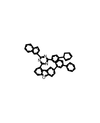 C1=CCC(c2ccc(-c3nc(-c4ccc5ccccc5c4)nc(-c4cccc5oc6ccc(-c7cccc(-c8ccccc8)c7)cc6c45)n3)cc2)C=C1